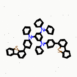 c1ccc(N(c2ccccc2)c2cc(N(c3ccccc3)c3ccc(-c4cccc5c4sc4ccccc45)cc3)cc(N(c3ccccc3)c3ccc(-c4cccc5c4sc4ccccc45)cc3)c2)cc1